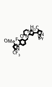 COc1cc(C(F)(F)F)nn1-c1ccc(CN2C(=O)CCn3nc(-c4c(C)cnn4C(C)C)cc32)cc1F